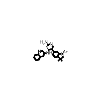 CC(=O)N1CC(C)(C)c2ccc(-c3cnc(N)nc3Nc3cnc4ccccc4c3)cc21